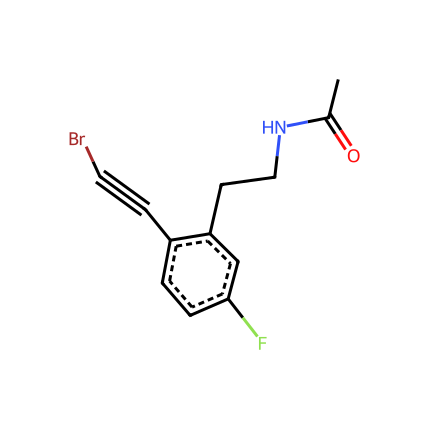 CC(=O)NCCc1cc(F)ccc1C#CBr